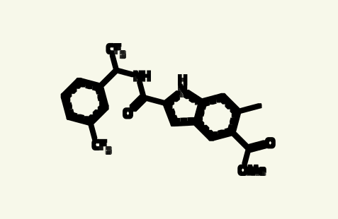 COC(=O)c1cc2cc(C(=O)NC(c3cccc(C(F)(F)F)c3)C(F)(F)F)[nH]c2cc1C